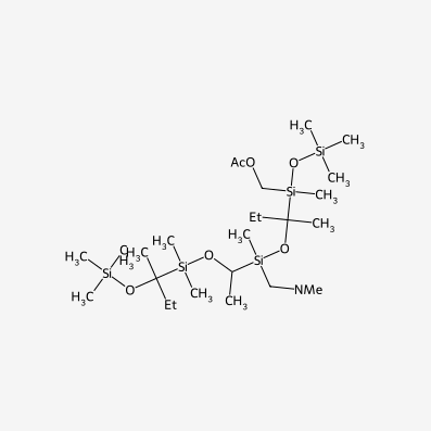 CCC(C)(O[Si](C)(C)C)[Si](C)(C)OC(C)[Si](C)(CNC)OC(C)(CC)[Si](C)(COC(C)=O)O[Si](C)(C)C